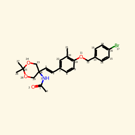 CC(=O)NC1(/C=C/c2ccc(OCc3ccc(Br)cc3)c(C)c2)COC(C)(C)OC1